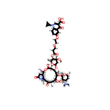 CO[C@]1(C)C[C@@H](O[C@H]2[C@H](C)[C@H]3O[C@@H]4O[C@H](C)C[C@H](N(C)C)[C@H]4OO[C@]3(C)C[C@H](C)C(=O)[C@H](C)[C@H]3NC(=O)C[C@@]3(C)[C@@H](I)OC(=O)[C@@H]2C)O[C@@H](C)[C@@H]1OC(=O)CCOCCOc1ccc2c(c1)c(=O)c(C(=O)O)cn2C1CC1